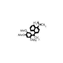 C=C(c1cc(OC)c(OC)cc1OC)c1ccc(N(C)C)c2ccccc12